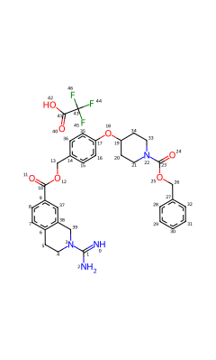 N=C(N)N1CCc2ccc(C(=O)OCc3ccc(OC4CCN(C(=O)OCc5ccccc5)CC4)cc3)cc2C1.O=C(O)C(F)(F)F